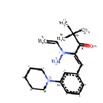 C=CN(N)/C(=C\c1cccc(N2CCCCC2)c1)C(=O)C(C)(C)C